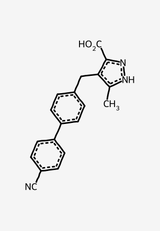 Cc1[nH]nc(C(=O)O)c1Cc1ccc(-c2ccc(C#N)cc2)cc1